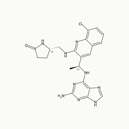 C[C@H](Nc1nc(N)nc2[nH]cnc12)c1cc2cccc(Cl)c2nc1NC[C@@H]1CCC(=O)N1